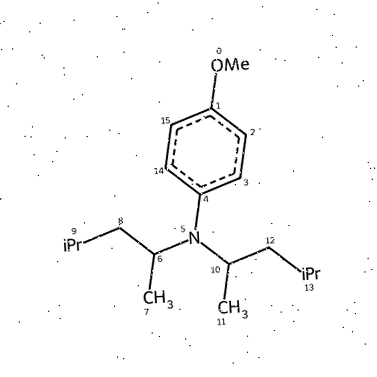 COc1ccc(N(C(C)CC(C)C)C(C)CC(C)C)cc1